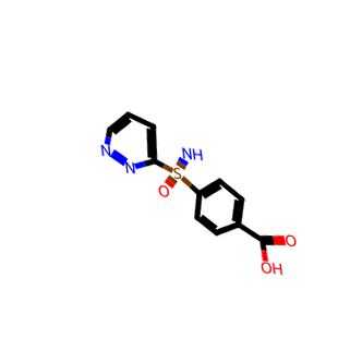 N=S(=O)(c1ccc(C(=O)O)cc1)c1cccnn1